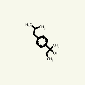 CCC(C)(O)c1ccc(CC(C)C)cc1